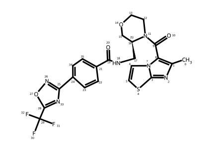 Cc1nc2sccn2c1C(=O)N1CCOC[C@@H]1CNC(=O)c1ccc(-c2noc(C(F)(F)F)n2)cc1